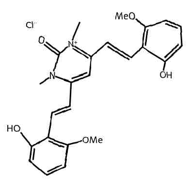 COc1cccc(O)c1C=Cc1cc(C=Cc2c(O)cccc2OC)[n+](C)c(=O)n1C.[Cl-]